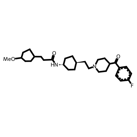 COC1CCC(CCC(=O)N[C@H]2CC[C@H](CCN3CCC(C(=O)c4ccc(F)cc4)CC3)CC2)CC1